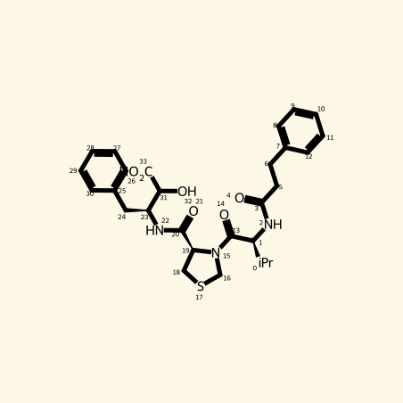 CC(C)[C@H](NC(=O)CCc1ccccc1)C(=O)N1CSC[C@H]1C(=O)N[C@@H](Cc1ccccc1)C(O)C(=O)O